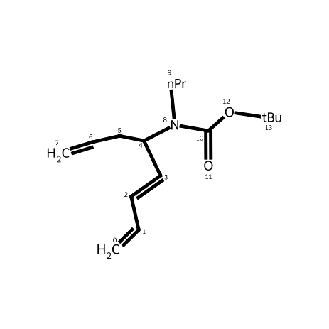 C=CC=CC(CC=C)N(CCC)C(=O)OC(C)(C)C